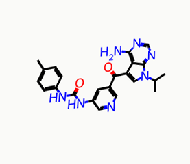 Cc1ccc(NC(=O)Nc2cncc(C(=O)c3cn(C(C)C)c4ncnc(N)c34)c2)cc1